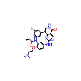 C=CC(=O)Nc1cc(Nc2ncc3c(=O)[nH]cc(-c4cccc(F)c4)c3n2)ccc1OCCN(C)C